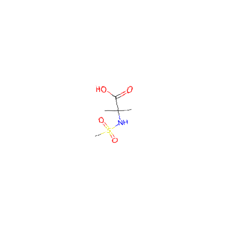 CC(C)(NS(C)(=O)=O)C(=O)O